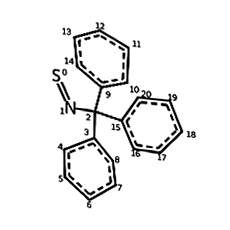 S=NC(c1ccccc1)(c1ccccc1)c1ccccc1